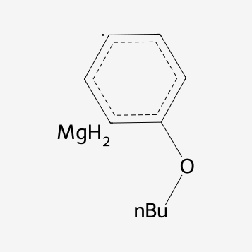 CCCCOc1cc[c]cc1.[MgH2]